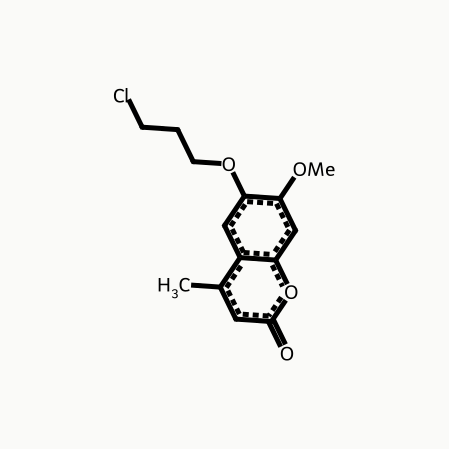 COc1cc2oc(=O)cc(C)c2cc1OCCCCl